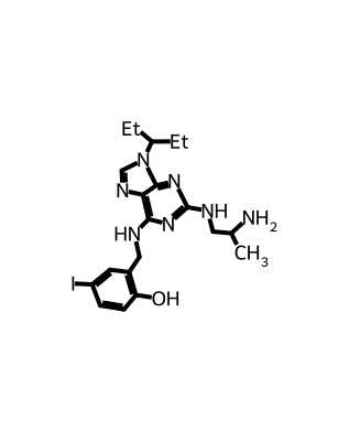 CCC(CC)n1cnc2c(NCc3cc(I)ccc3O)nc(NCC(C)N)nc21